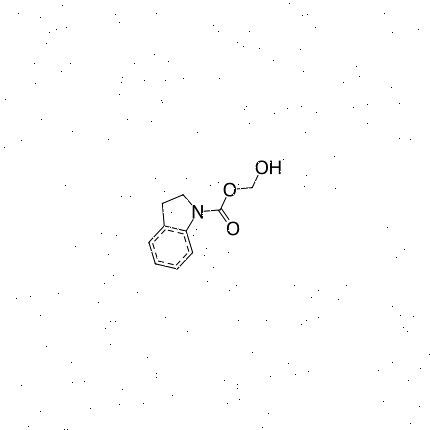 O=C(OCO)N1CCc2ccccc21